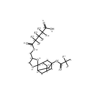 CC(F)(F)C(=O)OC12CC3CC(C1)C1(OCC(COC(=O)C(F)(F)C(F)(F)C(F)(F)C(=O)O)O1)C(C3)C2